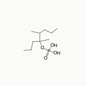 CCCC(C)C(C)(CCC)OP(=O)(O)O